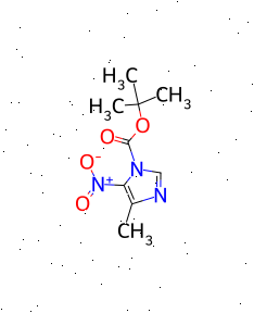 Cc1ncn(C(=O)OC(C)(C)C)c1[N+](=O)[O-]